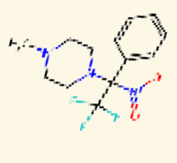 CN1CCN(C(c2ccccc2)([N+](=O)[O-])C(F)(F)F)CC1